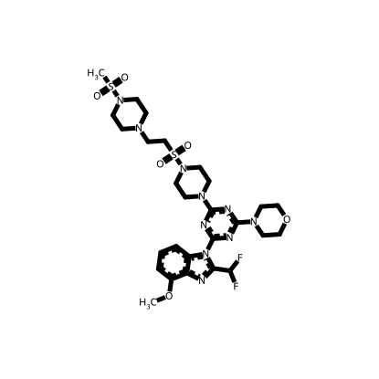 COc1cccc2c1nc(C(F)F)n2-c1nc(N2CCOCC2)nc(N2CCN(S(=O)(=O)CCN3CCN(S(C)(=O)=O)CC3)CC2)n1